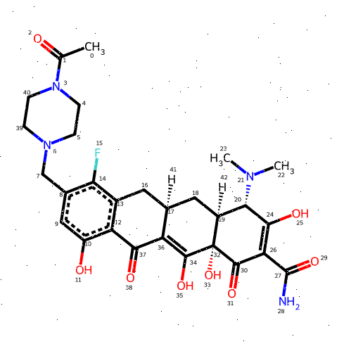 CC(=O)N1CCN(Cc2cc(O)c3c(c2F)C[C@H]2C[C@H]4[C@H](N(C)C)C(O)=C(C(N)=O)C(=O)[C@@]4(O)C(O)=C2C3=O)CC1